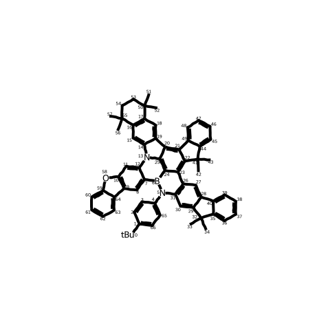 CC(C)(C)c1ccc(N2B3c4cc5c(cc4-n4c6cc7c(cc6c6c8c(c(c3c64)-c3cc4c(cc32)C(C)(C)c2ccccc2-4)C(C)(C)c2ccccc2-8)C(C)(C)CCC7(C)C)oc2ccccc25)cc1